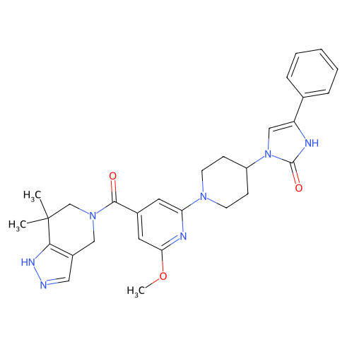 COc1cc(C(=O)N2Cc3cn[nH]c3C(C)(C)C2)cc(N2CCC(n3cc(-c4ccccc4)[nH]c3=O)CC2)n1